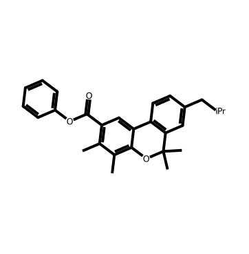 Cc1c(C(=O)Oc2ccccc2)cc2c(c1C)OC(C)(C)c1cc(CC(C)C)ccc1-2